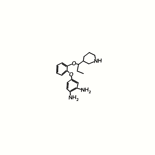 CCC(Oc1ccccc1Oc1ccc(N)c(N)c1)C1CCCNC1